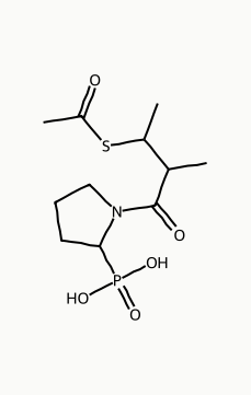 CC(=O)SC(C)C(C)C(=O)N1CCCC1P(=O)(O)O